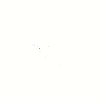 C=C/C(=C\C)c1c[nH]c(=N)c(C(=C)N)c1